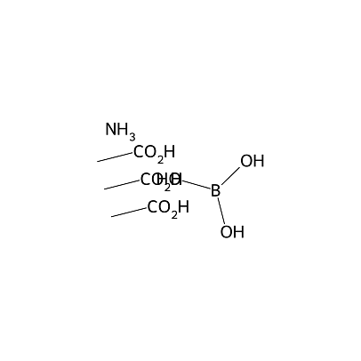 CC(=O)O.CC(=O)O.CC(=O)O.N.OB(O)O